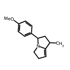 COc1ccc(C2CC(C)C3=CCCN32)cc1